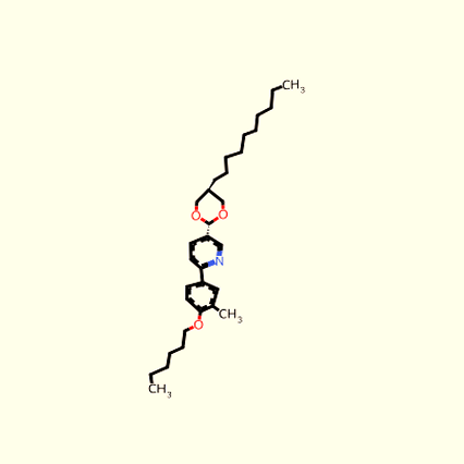 CCCCCCCCCC[C@H]1CO[C@H](c2ccc(-c3ccc(OCCCCCC)c(C)c3)nc2)OC1